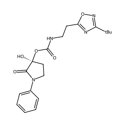 CC(C)(C)c1noc(CCNC(=O)O[C@@]2(O)CCN(c3ccccc3)C2=O)n1